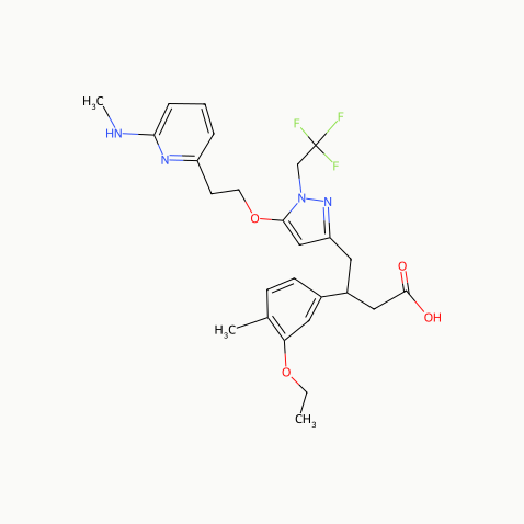 CCOc1cc(C(CC(=O)O)Cc2cc(OCCc3cccc(NC)n3)n(CC(F)(F)F)n2)ccc1C